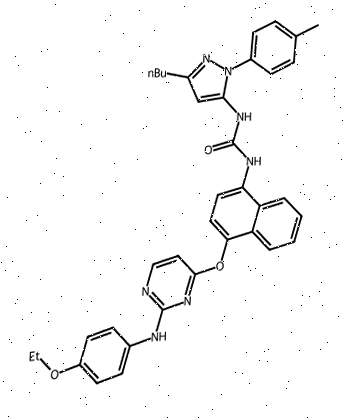 CCCCc1cc(NC(=O)Nc2ccc(Oc3ccnc(Nc4ccc(OCC)cc4)n3)c3ccccc23)n(-c2ccc(C)cc2)n1